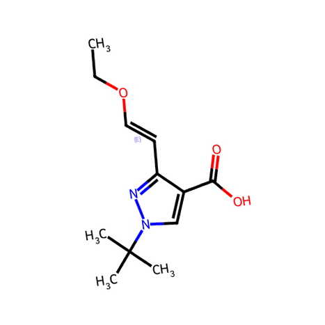 CCO/C=C/c1nn(C(C)(C)C)cc1C(=O)O